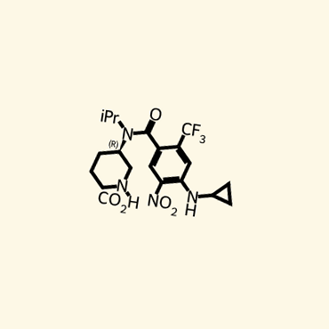 CC(C)N(C(=O)c1cc([N+](=O)[O-])c(NC2CC2)cc1C(F)(F)F)[C@@H]1CCCN(C(=O)O)C1